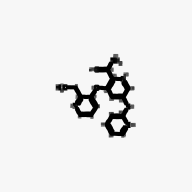 CCc1ncccc1Oc1cc(Sc2ccccn2)cnc1C(N)=O